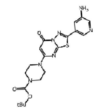 CC(C)(C)OC(=O)N1CCN(c2cc(=O)n3nc(-c4cncc(N)c4)sc3n2)CC1